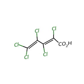 O=C(O)/C(Cl)=C(\Cl)C(Cl)=C(Cl)Cl